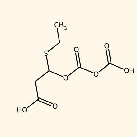 CCSC(CC(=O)O)OC(=O)OC(=O)O